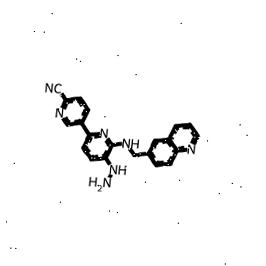 N#Cc1ccc(-c2ccc(NN)c(NCc3ccc4ncccc4c3)n2)cn1